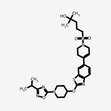 CC(C)c1noc(N2CCC(Oc3nc4ccc(C5=CCN(S(=O)(=O)CCCC(C)(C)O)CC5)cc4s3)CC2)n1